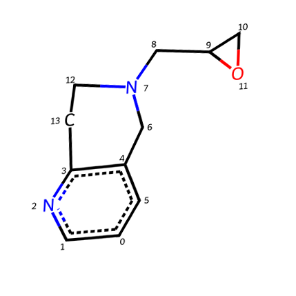 c1cnc2c(c1)CN(CC1CO1)CC2